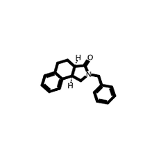 O=C1[C@@H]2CCc3ccccc3[C@@H]2CN1Cc1ccccc1